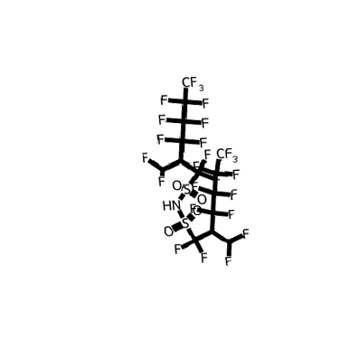 O=S(=O)(NS(=O)(=O)C(F)(F)C(C(F)F)C(F)(F)C(F)(F)C(F)(F)C(F)(F)F)C(F)(F)C(C(F)F)C(F)(F)C(F)(F)C(F)(F)C(F)(F)F